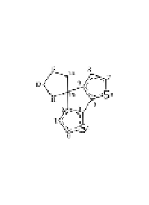 c1cc2c(s1)-c1sccc1C21CCCC1